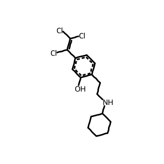 Oc1cc(C(Cl)=C(Cl)Cl)ccc1CCNC1CCCCC1